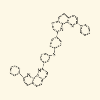 c1ccc(-c2ccc3ccc4ccc(-c5ccc(Sc6cccc(-c7ccc8ccc9ccc(-c%10ccccc%10)nc9c8n7)c6)cc5)nc4c3n2)cc1